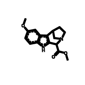 COC(=O)C1c2[nH]c3ccc(OC)cc3c2C2CCN1C2